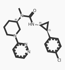 CN(C(=O)N[C@@H]1C[C@H]1c1ccc(Cl)cc1)[C@@H]1CCCN(c2cccnn2)C1